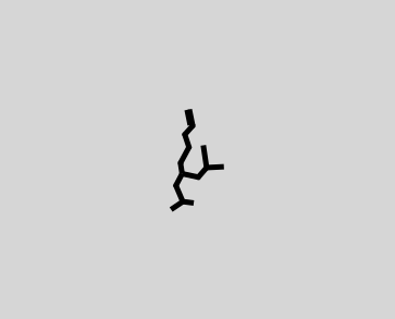 C=CCCCC(CC(C)C)CC(C)C